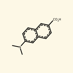 CN(C)c1ccc2cc(C(=O)O)ccc2c1